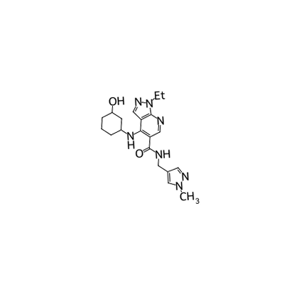 CCn1ncc2c(NC3CCCC(O)C3)c(C(=O)NCc3cnn(C)c3)cnc21